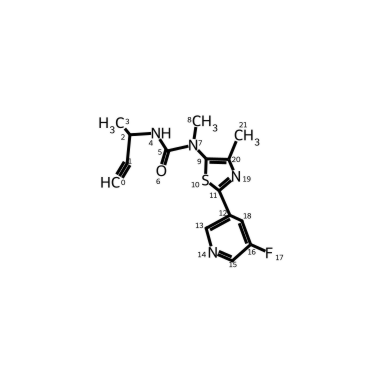 C#CC(C)NC(=O)N(C)c1sc(-c2cncc(F)c2)nc1C